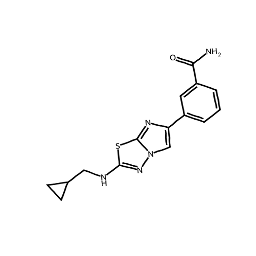 NC(=O)c1cccc(-c2cn3nc(NCC4CC4)sc3n2)c1